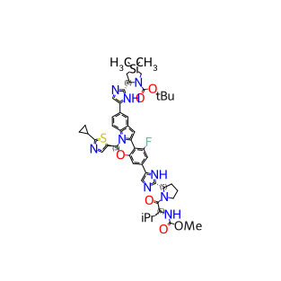 COC(=O)N[C@H](C(=O)N1CCC[C@H]1c1ncc(-c2cc(F)c3c(c2)O[C@@H](c2cnc(C4CC4)s2)n2c-3cc3cc(-c4cnc([C@@H]5C[Si](C)(C)CN5C(=O)OC(C)(C)C)[nH]4)ccc32)[nH]1)C(C)C